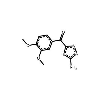 COc1ccc(C(=O)c2nnc(N)s2)cc1OC